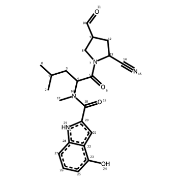 CC(C)CC(C(=O)N1CC(C=O)CC1C#N)N(C)C(=O)c1cc2c(O)cccc2[nH]1